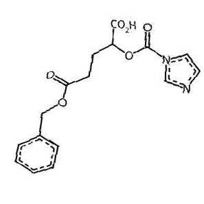 O=C(CCC(OC(=O)n1ccnc1)C(=O)O)OCc1ccccc1